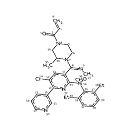 C=CC(=O)N1CCN(/C(=N/C)c2cc(Cl)c(-c3cccnc3)nc2N(C=O)c2c(CC)cccc2CC)C(C)C1